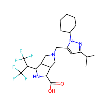 CC(C)c1cc(CN2CC3C(C(=O)O)NC(C(C(F)(F)F)C(F)(F)F)C3C2)n(C2CCCCC2)n1